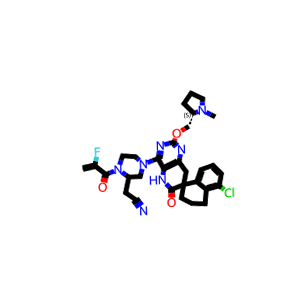 C=C(F)C(=O)N1CCN(c2nc(OC[C@@H]3CCCN3C)nc3c2NC(=O)C2(CCCc4c(Cl)cccc42)C3)CC1CC#N